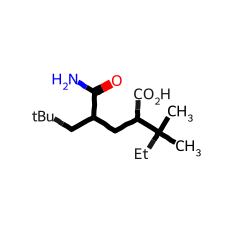 CCC(C)(C)C(CC(CC(C)(C)C)C(N)=O)C(=O)O